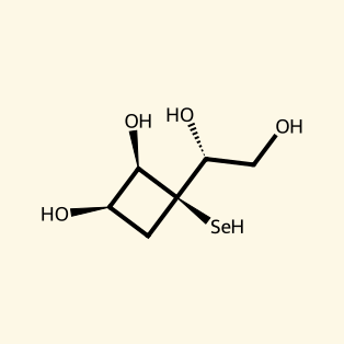 OC[C@@H](O)[C@]1([SeH])C[C@@H](O)[C@H]1O